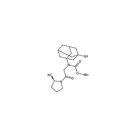 CC(C)(C)OC(=O)N(CC(=O)N1CCC[C@H]1C#N)C12CC3CC(CC(S)(C3)C1)C2